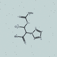 CNC(=O)OC(C(C(=O)C(C)(C)C)n1cncn1)C(Cl)(Cl)Cl